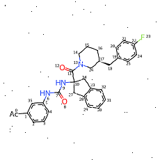 CC(=O)c1cccc(NC(=O)NC2(C(=O)N3CCC[C@@H](Cc4ccc(F)cc4)C3)Cc3ccccc3C2)c1